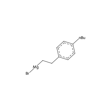 CCCCc1ccc(C[CH2][Mg][Br])cc1